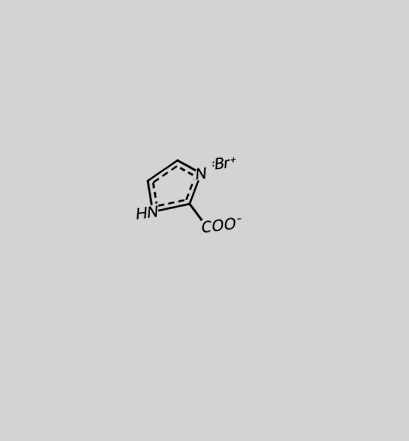 O=C([O-])c1ncc[nH]1.[Br+]